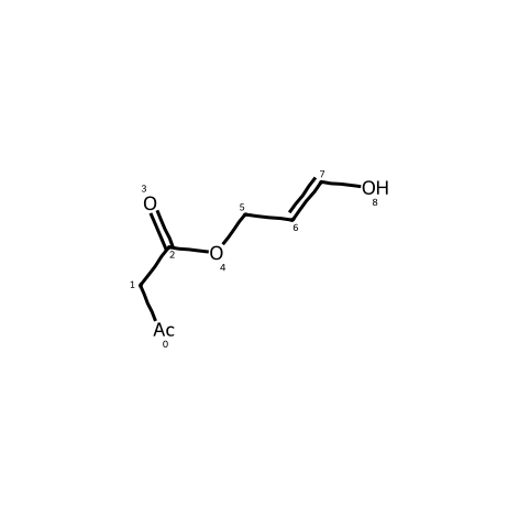 CC(=O)CC(=O)OCC=CO